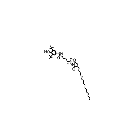 CCCCCCCCCCCCCCCCC1CC(=O)N(NC(=O)CCCCC(=O)Nc2cc(C(C)(C)C)c(O)c(C(C)(C)C)c2)C1=O